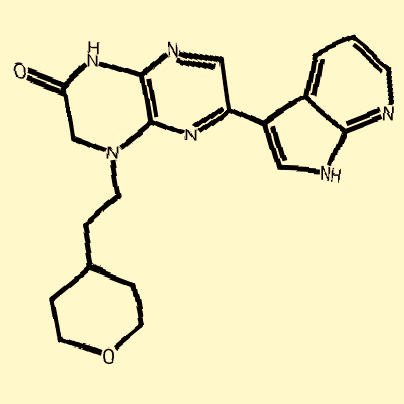 O=C1CN(CCC2CCOCC2)c2nc(-c3c[nH]c4ncccc34)cnc2N1